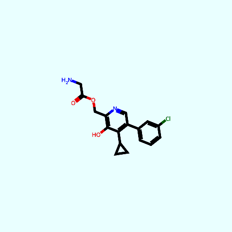 NCC(=O)OCc1ncc(-c2cccc(Cl)c2)c(C2CC2)c1O